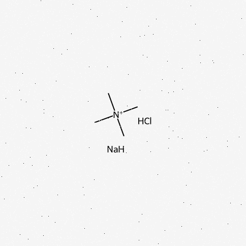 C[N+](C)(C)C.Cl.[NaH]